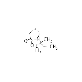 CCC(C)(C)N1CCCS1(=O)=O